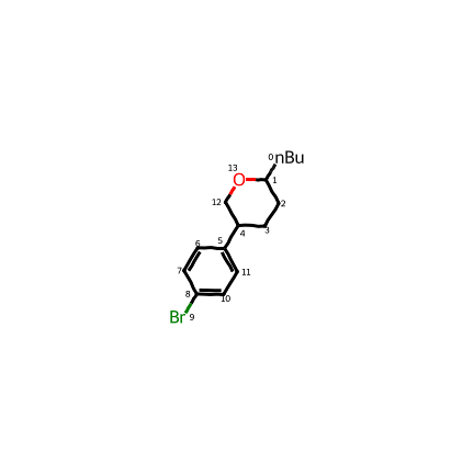 CCCCC1CCC(c2ccc(Br)cc2)CO1